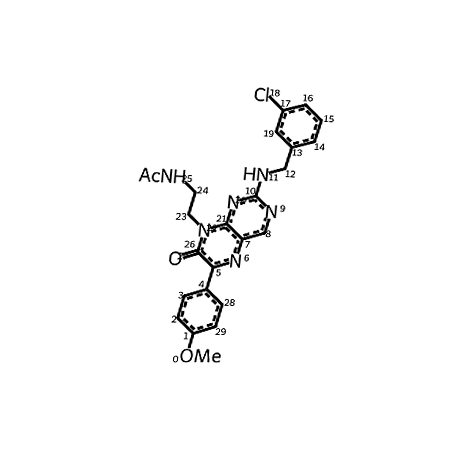 COc1ccc(-c2nc3cnc(NCc4cccc(Cl)c4)nc3n(CCNC(C)=O)c2=O)cc1